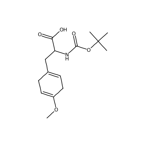 COC1=CCC(CC(NC(=O)OC(C)(C)C)C(=O)O)=CC1